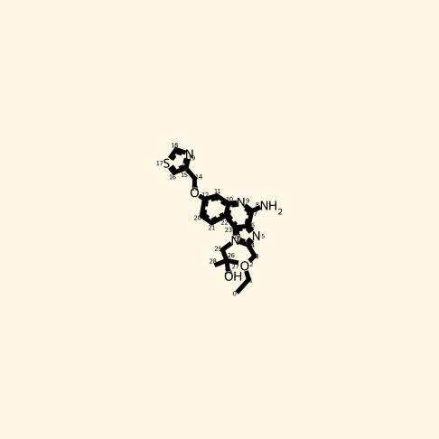 CCOCc1nc2c(N)nc3cc(OCc4cscn4)ccc3c2n1CC(C)(C)O